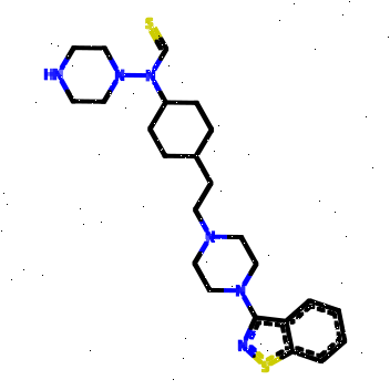 S=CN(C1CCC(CCN2CCN(c3nsc4ccccc34)CC2)CC1)N1CCNCC1